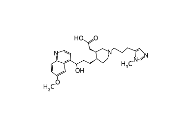 COc1ccc2nccc(C(O)CC[C@@H]3CCN(CCCc4cncn4C)C[C@@H]3CC(=O)O)c2c1